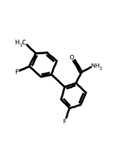 Cc1ccc(-c2cc(F)ccc2C(N)=O)cc1F